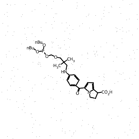 CCCCOP(OCCCC)OCOCC(C)(C)CNc1ccc(C(=O)c2ccc3n2CCC3C(=O)O)cc1